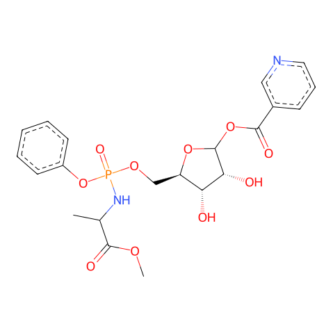 COC(=O)C(C)NP(=O)(OC[C@H]1OC(OC(=O)c2cccnc2)[C@H](O)[C@@H]1O)Oc1ccccc1